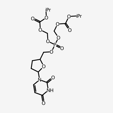 CC(C)OC(=O)OCOP(=O)(OCOC(=O)OC(C)C)OCC1CCC(n2ccc(=O)[nH]c2=O)O1